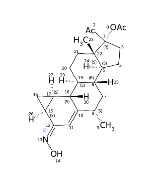 CC(=O)O[C@]1(C(C)=O)CC[C@H]2[C@@H]3C[C@H](C)C4=C/C(=N\O)[C@H]5C[C@H]5[C@@H]4[C@H]3CC[C@@]21C